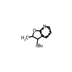 CCCCC1c2cccnc2OC1C